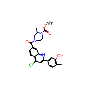 CCCOC(=O)N1CCN(C(=O)c2ccc3c(Cl)cc(-c4ccc(C)c(O)c4)nc3c2)CC1C